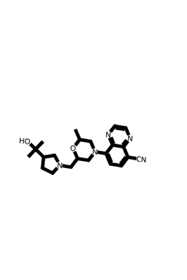 CC1CN(c2ccc(C#N)c3nccnc23)CC(CN2CCC(C(C)(C)O)C2)O1